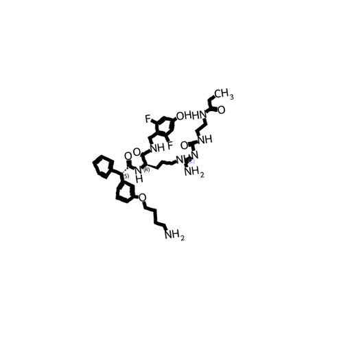 CCC(=O)NCCNC(=O)/N=C(/N)NCCC[C@@H](NC(=O)[C@@H](c1ccccc1)c1cccc(OCCCCN)c1)C(=O)NCc1c(F)cc(O)cc1F